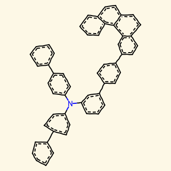 c1ccc(-c2ccc(N(c3ccc(-c4ccccc4)cc3)c3cccc(-c4ccc(-c5ccc6ccc7ccc8ccccc8c7c6c5)cc4)c3)cc2)cc1